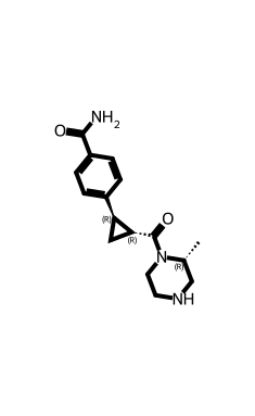 C[C@@H]1CNCCN1C(=O)[C@@H]1C[C@H]1c1ccc(C(N)=O)cc1